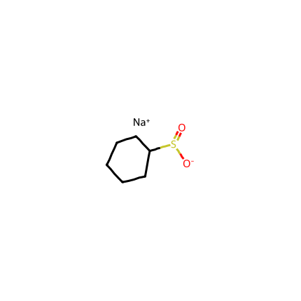 O=S([O-])C1CCCCC1.[Na+]